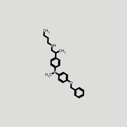 CCCCNCC(C)c1ccc(N(C)c2ccc(OCc3ccccc3)cc2)cc1